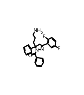 NCCCC1(c2ccccc2)CC(c2cc(F)ccc2F)=NN1C(=O)c1ccccc1